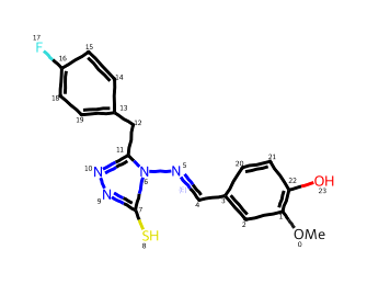 COc1cc(/C=N/n2c(S)nnc2Cc2ccc(F)cc2)ccc1O